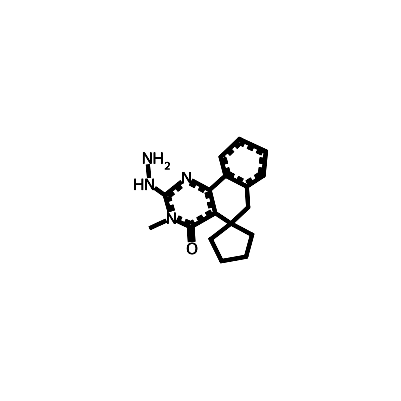 Cn1c(NN)nc2c(c1=O)C1(CCCC1)Cc1ccccc1-2